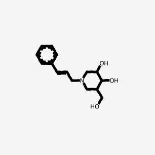 OCC1CN(CC=Cc2ccccc2)CC(O)C1O